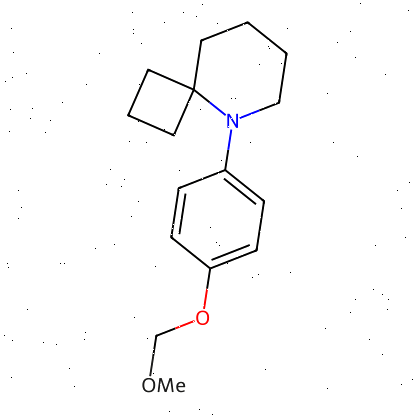 COCOc1ccc(N2CCCCC23CCC3)cc1